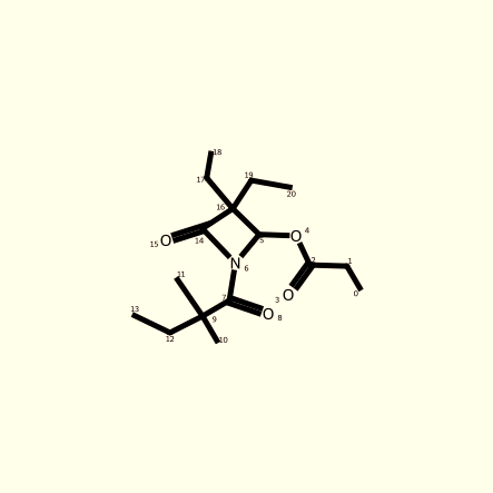 CCC(=O)OC1N(C(=O)C(C)(C)CC)C(=O)C1(CC)CC